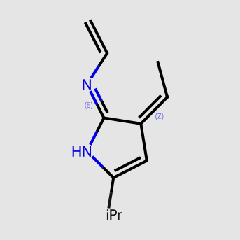 C=C/N=C1/NC(C(C)C)=C/C1=C/C